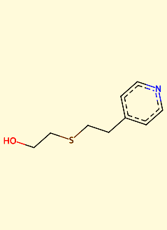 OCCSCCc1ccncc1